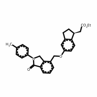 CCOC(=O)C[C@@H]1CCc2cc(OCc3cccc4c3CN(c3ccc(C)cc3)C4=O)ccc21